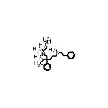 CCC(C)NCC(CCCN(C)CCc1ccccc1)(c1ccccc1)C(C)C.Cl.Cl